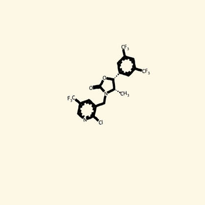 C[C@H]1[C@@H](c2cc(C(F)(F)F)cc(C(F)(F)F)c2)OC(=O)N1Cc1cc(C(F)(F)F)cnc1Cl